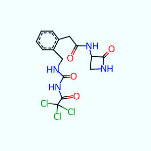 O=C(Cc1ccccc1CNC(=O)NC(=O)C(Cl)(Cl)Cl)NC1CNC1=O